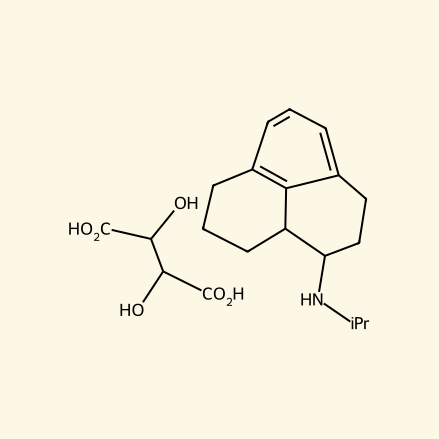 CC(C)NC1CCc2cccc3c2C1CCC3.O=C(O)C(O)C(O)C(=O)O